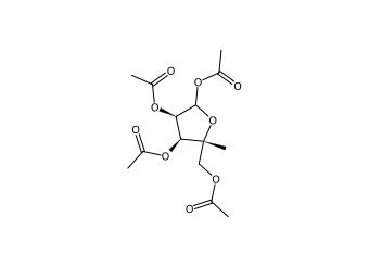 CC(=O)OC[C@@]1(C)OC(OC(C)=O)[C@H](OC(C)=O)[C@@H]1OC(C)=O